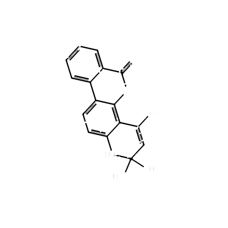 CC1=CC(C)(C)Nc2ccc3c(oc(=O)c4ccccc43)c21